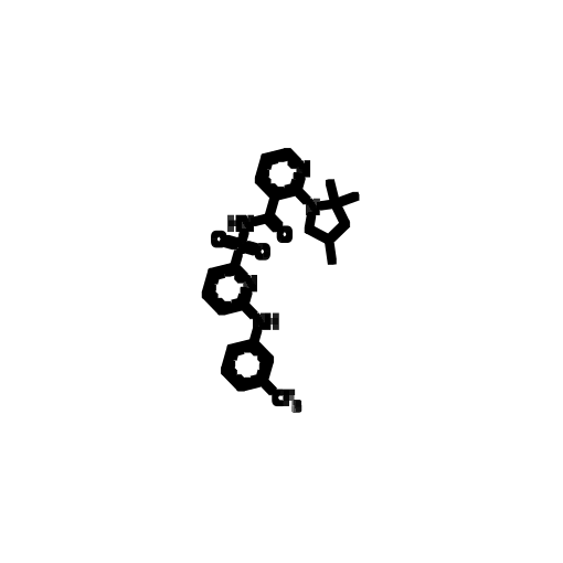 CC1CN(c2ncccc2C(=O)NS(=O)(=O)c2cccc(Nc3cccc(C(F)(F)F)c3)n2)C(C)(C)C1